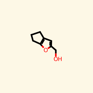 OCc1cc2c(o1)CCC2